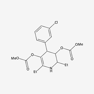 CCC1=C(OC(=O)OC)C(c2cccc(Cl)c2)C(OC(=O)OC)C(CC)N1